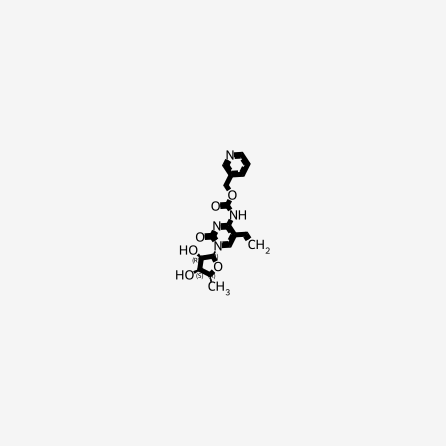 C=Cc1cn([C@@H]2O[C@H](C)[C@@H](O)[C@H]2O)c(=O)nc1NC(=O)OCc1cccnc1